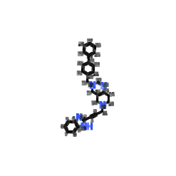 C(#Cc1nc2ccccc2[nH]1)CN1CCC2=C(CN(Cc3ccc(-c4ccccc4)cc3)C=N2)C1